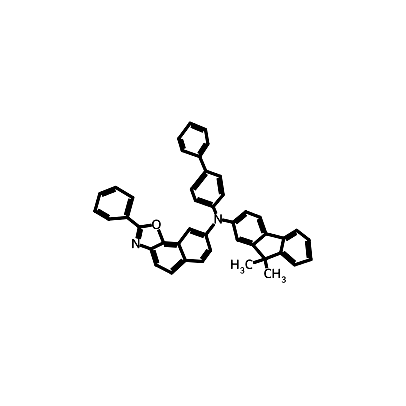 CC1(C)c2ccccc2-c2ccc(N(c3ccc(-c4ccccc4)cc3)c3ccc4ccc5nc(-c6ccccc6)oc5c4c3)cc21